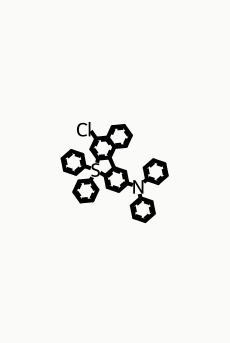 Clc1cc2c(c3ccccc13)-c1cc(N(c3ccccc3)c3ccccc3)ccc1S2(c1ccccc1)c1ccccc1